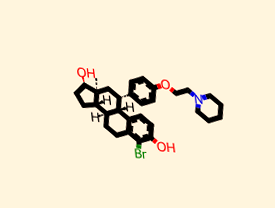 C[C@]12C[C@H](c3ccc(OCCN4CCCCC4)cc3)[C@@H]3c4ccc(O)c(Br)c4CC[C@H]3[C@@H]1CC[C@@H]2O